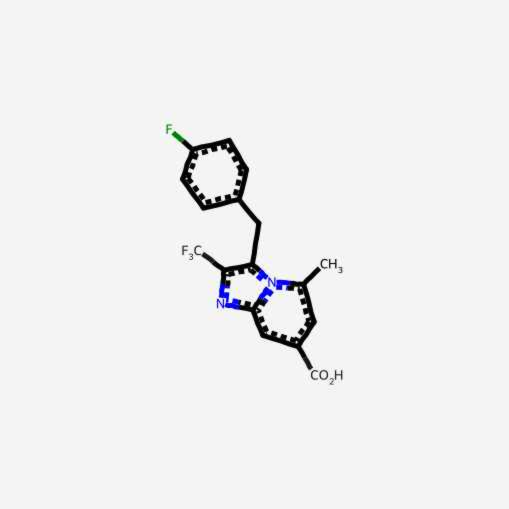 Cc1cc(C(=O)O)cc2nc(C(F)(F)F)c(Cc3ccc(F)cc3)n12